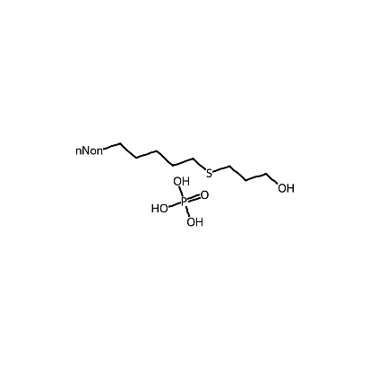 CCCCCCCCCCCCCCSCCCO.O=P(O)(O)O